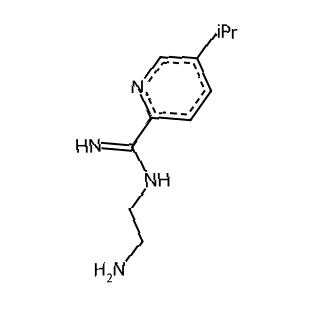 CC(C)c1ccc(C(=N)NCCN)nc1